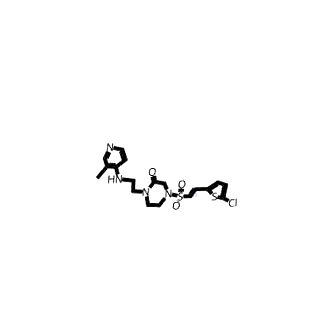 Cc1cnccc1NCCN1CCN(S(=O)(=O)/C=C/c2ccc(Cl)s2)CC1=O